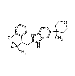 CC1(c2ccc3nc(CC(c4ccccc4Cl)C4(C)CC4)[nH]c3c2)CCOCC1